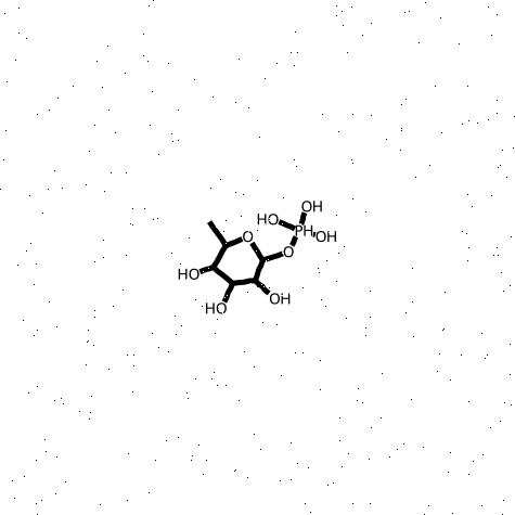 CC1OC(O[PH](O)(O)O)C(O)C(O)C1O